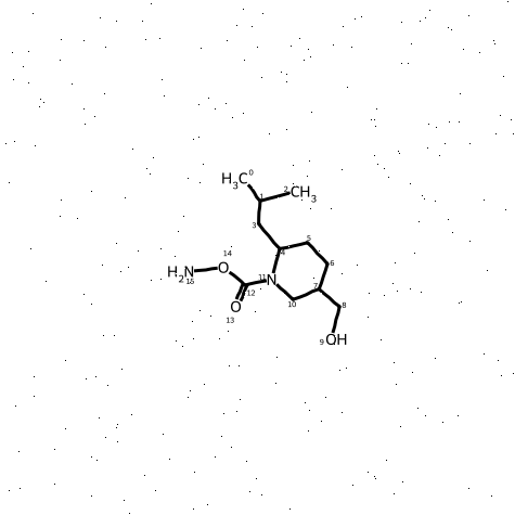 CC(C)CC1CCC(CO)CN1C(=O)ON